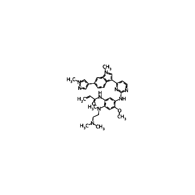 C=CC(=O)Nc1cc(Nc2nccc(-c3cn(C)c4cc(-c5cnn(C)c5)ccc34)n2)c(OC)cc1N(C)CCN(C)C